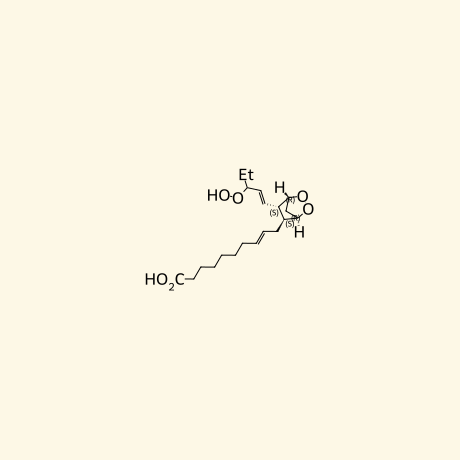 CCC(C=C[C@H]1[C@H](CC=CCCCCCCC(=O)O)[C@H]2C[C@H]1OO2)OO